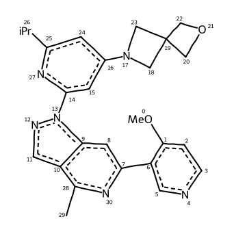 COc1ccncc1-c1cc2c(cnn2-c2cc(N3CC4(COC4)C3)cc(C(C)C)n2)c(C)n1